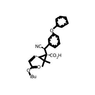 CCC(C)OC(=O)/C=C\[C@H]1C(C)(C)[C@]1(C(=O)O)[C@@H](C#N)c1cccc(Oc2ccccc2)c1